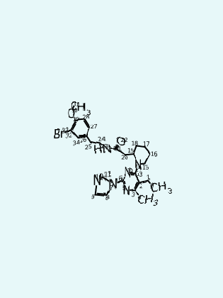 CCc1c(C)nc(-n2ccnc2)nc1N1CCCCC1CC(=O)NCCc1ccc(OC)c(Br)c1